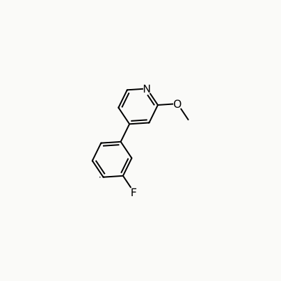 COc1cc(-c2cc[c]c(F)c2)ccn1